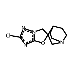 Clc1nc2n(n1)CC1(CN3CCC1CC3)O2